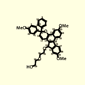 COc1ccc(C2(c3ccccc3)C=Cc3c4c(c5ccc(OC)cc5c3O2)-c2ccc(OC)cc2C4OCCOCCO)cc1